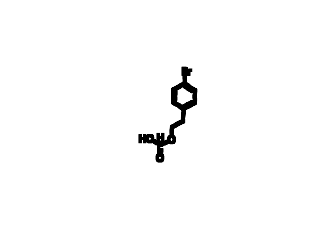 O=[PH](O)OCCc1ccc(Br)cc1